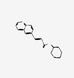 O=C(/C=C/c1ccc2ncccc2c1)OC1CCCCC1